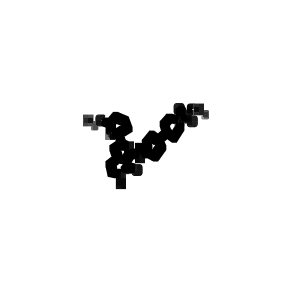 Cc1cccc(-c2cc3cc[nH]c(=O)c3c(Nc3ccc(C4CCN(S(C)(=O)=O)CC4)cc3)n2)n1